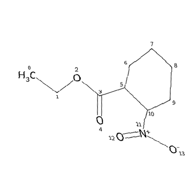 CCOC(=O)C1CCCCC1[N+](=O)[O-]